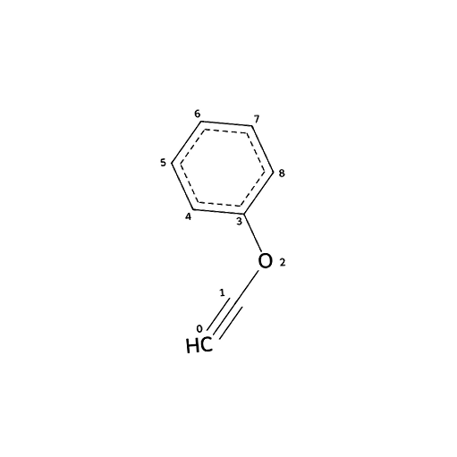 C#COc1ccccc1